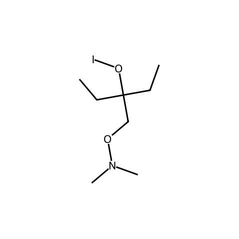 CCC(CC)(CON(C)C)OI